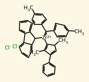 CC1=[C]([Zr+2](=[C](c2ccc(C)cc2)c2ccc(C)cc2)[CH]2c3ccccc3-c3ccccc32)C(C)C=C1c1ccccc1.[Cl-].[Cl-]